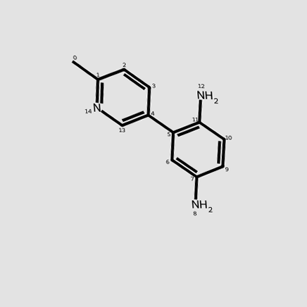 Cc1ccc(-c2cc(N)ccc2N)cn1